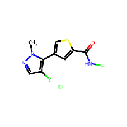 Cl.Cn1ncc(Cl)c1-c1csc(C(=O)NCl)c1